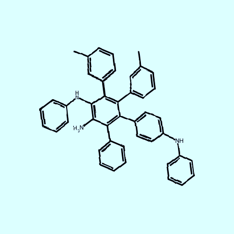 Cc1cccc(-c2c(Nc3ccccc3)c(N)c(-c3ccccc3)c(-c3ccc(Nc4ccccc4)cc3)c2-c2cccc(C)c2)c1